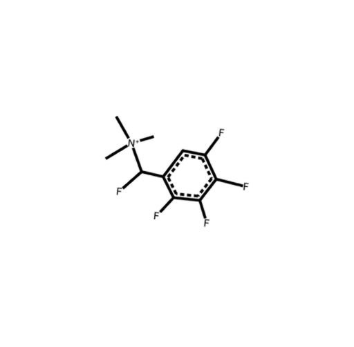 C[N+](C)(C)C(F)c1cc(F)c(F)c(F)c1F